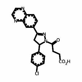 O=C(O)CCC(=O)N1N=C(c2ccc3nccnc3c2)CC1c1ccc(Cl)cc1